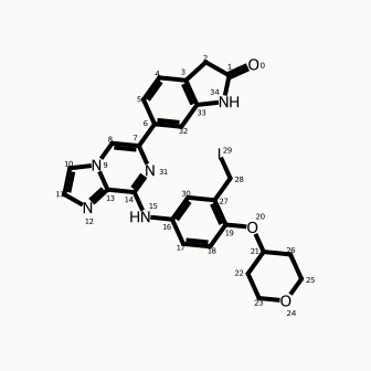 O=C1Cc2ccc(-c3cn4ccnc4c(Nc4ccc(OC5CCOCC5)c(CI)c4)n3)cc2N1